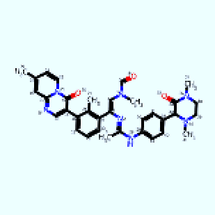 C/C(=N\C(=C/N(C)C=O)c1cccc(-c2cnc3cc(C)ccn3c2=O)c1C)Nc1ccc(C2C(=O)N(C)CCN2C)cc1